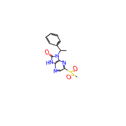 CC(c1ccccc1)n1c(=O)[nH]c2ncc(S(C)(=O)=O)nc21